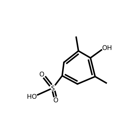 Cc1cc(S(=O)(=O)O)cc(C)c1O